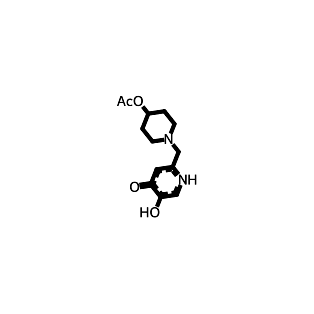 CC(=O)OC1CCN(Cc2cc(=O)c(O)c[nH]2)CC1